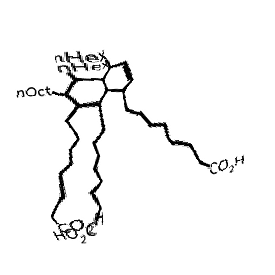 CCCCCCCCC1C(CCCCCCCC(=O)O)C(CCCCCCCC(=O)O)C2C(CCCCCCCC(=O)O)C=CC(CCCCCC)C2C1CCCCCC